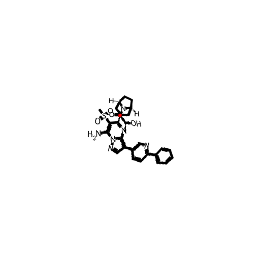 C[C@H](O)C(=O)N1[C@@H]2CC[C@H]1C[C@@H](c1nc3c(-c4ccc(-c5ccccc5)nc4)cnn3c(N)c1S(C)(=O)=O)C2